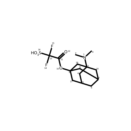 CN(C)C12CC3CC(CC(OC(=O)C(F)(F)S(=O)(=O)O)(C3)C1)C2